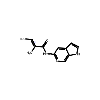 C/C=C(\C)C(=O)Nc1cc2cc[nH]c2cn1